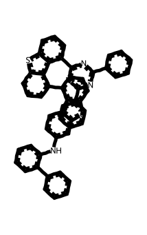 c1ccc(-c2nc(-c3ccccc3)nc(-c3cccc4sc5cccc(-c6cccc7oc8cc(Nc9ccccc9-c9ccccc9)ccc8c67)c5c34)n2)cc1